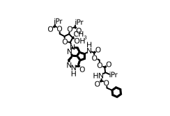 CC(C)C(=O)OCC1OC(n2cc3c(NC(=O)OCOC(=O)C(NC(=O)OCc4ccccc4)C(C)C)cc4c(=O)[nH]ncc(n2)c34)C(C)(O)C1OC(=O)C(C)C